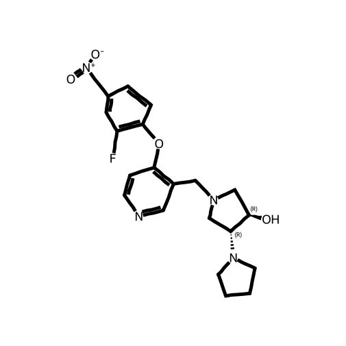 O=[N+]([O-])c1ccc(Oc2ccncc2CN2C[C@@H](O)[C@H](N3CCCC3)C2)c(F)c1